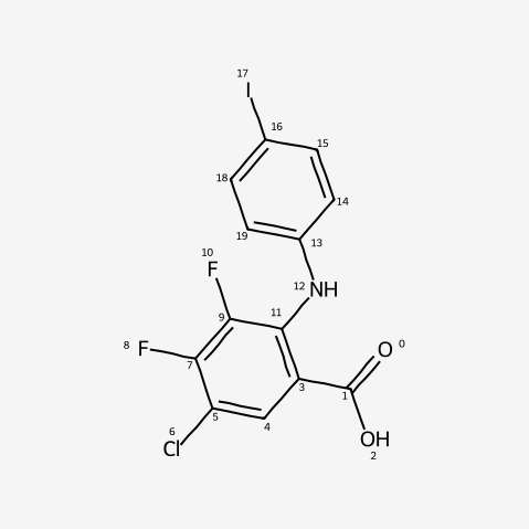 O=C(O)c1cc(Cl)c(F)c(F)c1Nc1ccc(I)cc1